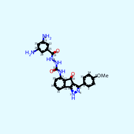 COc1ccc(-c2n[nH]c3c2C(=O)c2c(NC(=O)NNC(=O)c4cc(N)cc(N)c4)cccc2-3)cc1